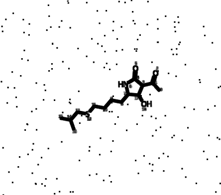 CC(=O)C1C(=O)NC(CCCCSCC(C)C)C1O